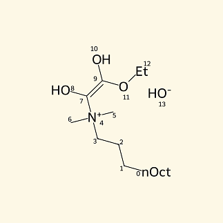 CCCCCCCCCCC[N+](C)(C)C(O)=C(O)OCC.[OH-]